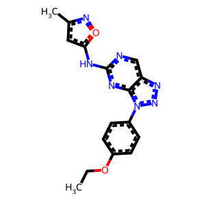 CCOc1ccc(-n2nnc3cnc(Nc4cc(C)no4)nc32)cc1